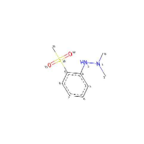 CN(C)Nc1ccccc1S(C)(=O)=O